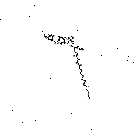 CCCCCCCCCCCCCCCCOCC(COP(=O)(O)Oc1ccc(CN2C=C(C)SC2)cc1)OCC